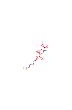 CCOC(=O)C(C)(CO)COC(=O)OCCOCCS